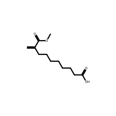 C=C(CCCCCCCC(=O)O)C(=O)OC